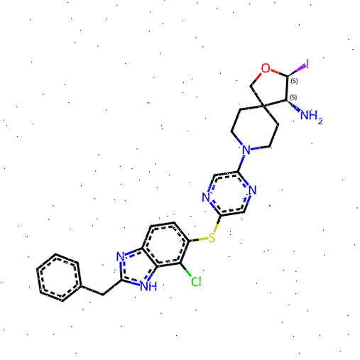 N[C@@H]1[C@H](I)OCC12CCN(c1cnc(Sc3ccc4nc(Cc5ccccc5)[nH]c4c3Cl)cn1)CC2